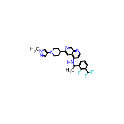 C[C@@H](Nc1ccnc2cnc(C3CCN(c4cnn(C)c4)CC3)cc12)c1cccc(C(F)F)c1F